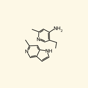 CCc1cnc(C)cc1N.Cc1cc2[nH]ccc2cn1